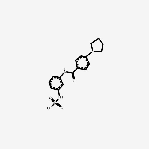 CS(=O)(=O)Nc1cccc(NC(=O)c2ccc(N3CCCC3)cc2)c1